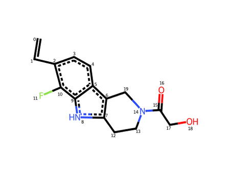 C=Cc1ccc2c3c([nH]c2c1F)CCN(C(=O)CO)C3